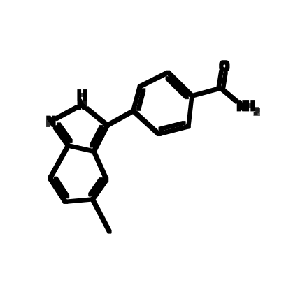 Cc1ccc2n[nH]c(-c3ccc(C(N)=O)cc3)c2c1